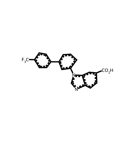 O=C(O)c1ccc2ncn(-c3cccc(-c4ccc(C(F)(F)F)cc4)c3)c2c1